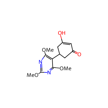 COc1nc(OC)c(C2CC(=O)C=C(O)C2)c(OC)n1